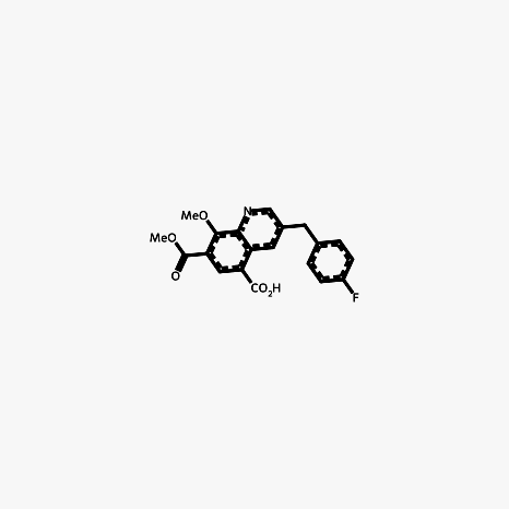 COC(=O)c1cc(C(=O)O)c2cc(Cc3ccc(F)cc3)cnc2c1OC